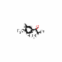 CCC(C(=O)O)C(=O)c1ccc(C(F)(F)F)c(C)c1